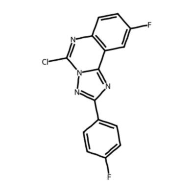 Fc1ccc(-c2nc3c4cc(F)ccc4nc(Cl)n3n2)cc1